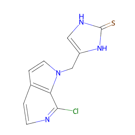 S=c1[nH]cc(Cn2ccc3ccnc(Cl)c32)[nH]1